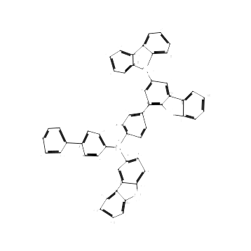 c1ccc(-c2ccc(N(c3ccc(-c4cc(-n5c6ccccc6c6ccccc65)cc5c4oc4ccccc45)cc3)c3ccc4oc5ccccc5c4c3)cc2)cc1